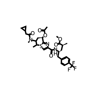 COC(=O)[C@@H](C)C[C@H](Cc1ccc(C(F)(F)F)cc1)NC(=O)c1csc([C@@H](CC(C(C)C)N(C)C(=O)CC2CC2)OC(C)=O)n1